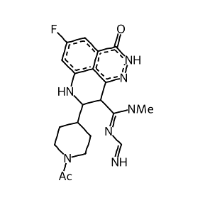 CN/C(=N\C=N)C1c2n[nH]c(=O)c3cc(F)cc(c23)NC1C1CCN(C(C)=O)CC1